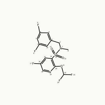 CN(Cc1cc(F)cc(F)c1)S(=O)(=O)c1cc(F)cnc1OC(F)F